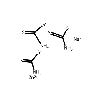 NC(=S)[S-].NC(=S)[S-].NC(=S)[S-].[Na+].[Zn+2]